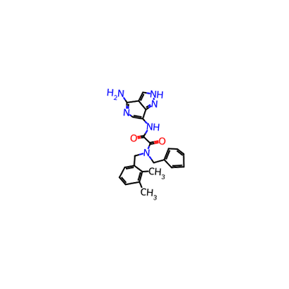 Cc1cccc(CN(Cc2ccccc2)C(=O)C(=O)Nc2cnc(N)c3c[nH]nc23)c1C